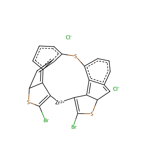 BrC1=[C]2[Zr+2][C]3=C(Br)SC4C=c5cccc(c5=C34)Sc3cccc4c3=CC(S1)C=42.[Cl-].[Cl-]